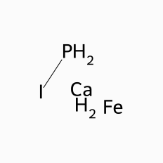 PI.[CaH2].[Fe]